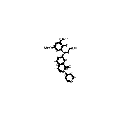 COc1cc(OC)c(F)c(N(CCO)c2ccc3ncn(-c4ccncc4)c(=O)c3c2)c1